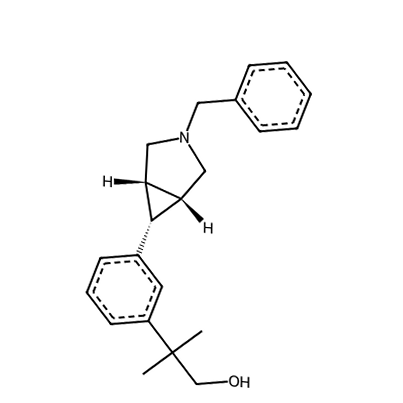 CC(C)(CO)c1cccc([C@@H]2[C@@H]3CN(Cc4ccccc4)C[C@@H]32)c1